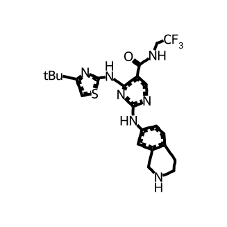 CC(C)(C)c1csc(Nc2nc(Nc3ccc4c(c3)CNCC4)ncc2C(=O)NCC(F)(F)F)n1